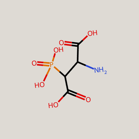 NC(C(=O)O)C(C(=O)O)P(=O)(O)O